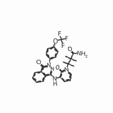 CC(C)(C(N)=O)C(C)(C)n1cccc(Nc2nn(-c3ccc(OC(F)(F)F)cc3)c(=O)c3ccccc23)c1=O